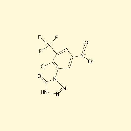 O=c1[nH]nnn1-c1cc([N+](=O)[O-])cc(C(F)(F)F)c1Cl